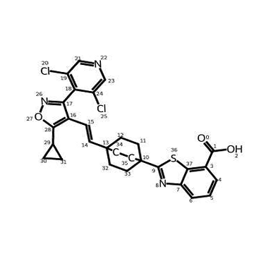 O=C(O)c1cccc2nc(C34CCC(C=Cc5c(-c6c(Cl)cncc6Cl)noc5C5CC5)(CC3)CC4)sc12